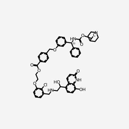 O=C(N[C@@H](c1ccccc1)c1cccc(OCc2ccc(C(=O)OCCOc3cccc(CNCC(O)c4ccc(O)c5[nH]c(=O)ccc45)c3Cl)cc2)c1)OC1CN2CCC1CC2